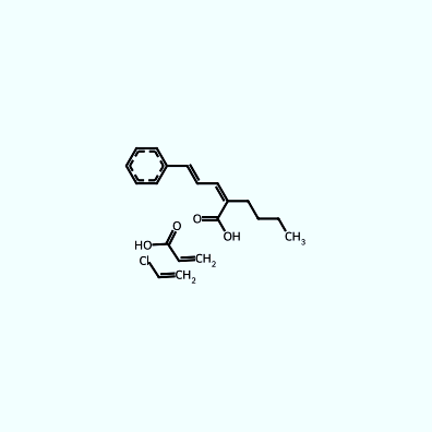 C=CC(=O)O.C=CCl.CCCCC(=CC=Cc1ccccc1)C(=O)O